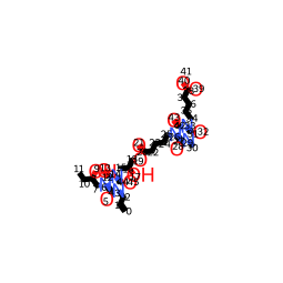 C=CCn1c(=O)n(CC(O)CC)c(=O)n(CC(O)COC(=O)CCCCn2c(=O)n(C)c(=O)n(CCCCC(=O)OC)c2=O)c1=O